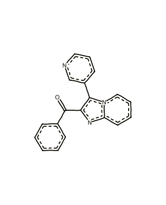 O=C(c1ccccc1)c1nc2ccccn2c1-c1cccnc1